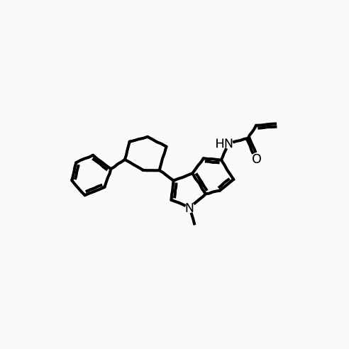 C=CC(=O)Nc1ccc2c(c1)c(C1CCCC(c3ccccc3)C1)cn2C